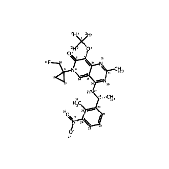 [2H]C([2H])([2H])Oc1c(=O)n(C2(CF)CC2)cc2c(N[C@H](C)c3cccc([N+](=O)[O-])c3C)nc(C)nc12